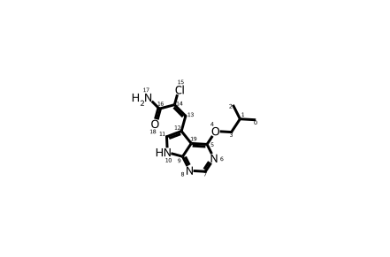 CC(C)COc1ncnc2[nH]cc(/C=C(/Cl)C(N)=O)c12